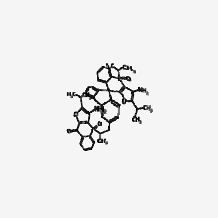 CC(C)c1oc2c(c1N)P(=O)(C(C)C)c1ccccc1C21c2ccccc2-c2cc(CC(C)P3(=O)c4ccccc4C(=O)c4oc(C(C)C)c(N)c43)ccc21